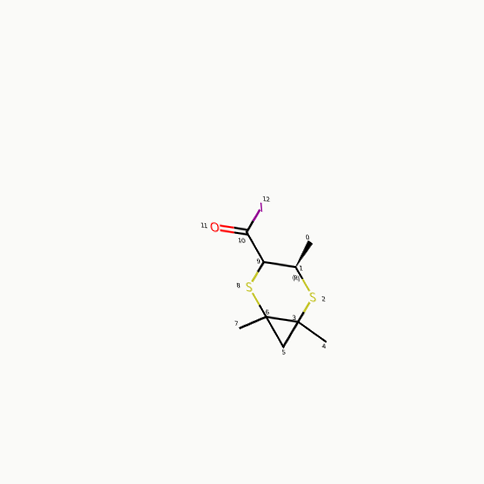 C[C@H]1SC2(C)CC2(C)SC1C(=O)I